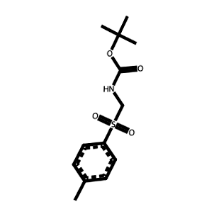 Cc1ccc(S(=O)(=O)CNC(=O)OC(C)(C)C)cc1